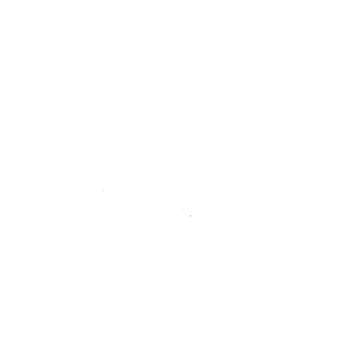 CC(=O)c1c[nH]c2c3c(ccc12)OCC3